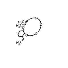 C=CC1CCCC2O[Si](C)(C)OCCOCCOCCOCCOC12